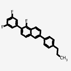 CCCc1ccc(-c2ccc3c(F)c(-c4cc(F)cc(F)c4)ccc3c2)cc1